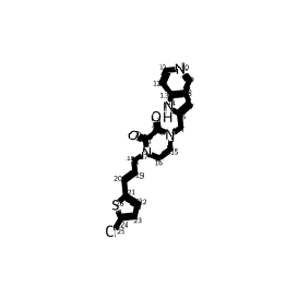 O=C1C(=O)N(Cc2cc3cnccc3[nH]2)CCN1CC=Cc1ccc(Cl)s1